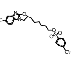 Cc1ccc(S(=O)(=O)OCCCCCC[C@H]2Cn3c(nc4cc(C#N)ccc43)O2)cc1